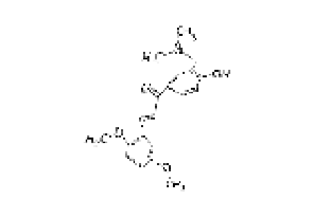 COc1ccc(OC)c(C=CC(=O)c2ccc(O)c(CN(C)C)c2)c1